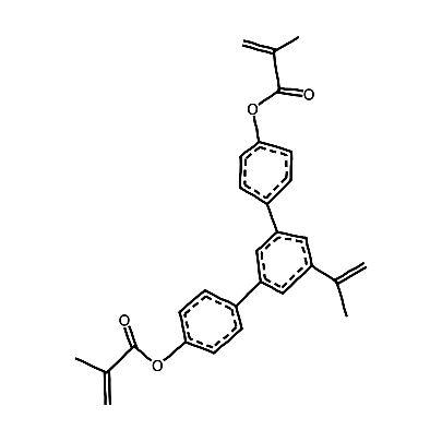 C=C(C)C(=O)Oc1ccc(-c2cc(C(=C)C)cc(-c3ccc(OC(=O)C(=C)C)cc3)c2)cc1